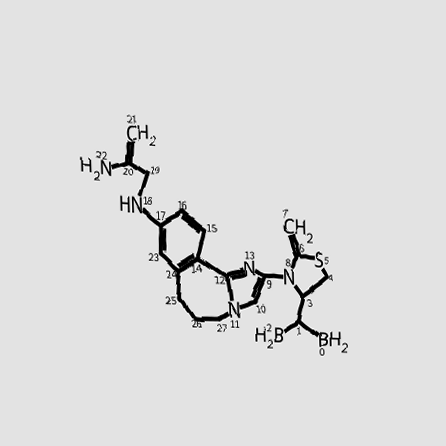 BC(B)C1CSC(=C)N1c1cn2c(n1)-c1ccc(NCC(=C)N)cc1CCC2